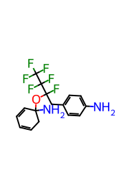 Nc1ccc(CC(F)(OC2(N)C=CC=CC2)C(F)(F)C(F)(F)F)cc1